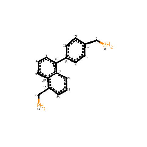 PCc1ccc(-c2cccc3c(CP)cccc23)cc1